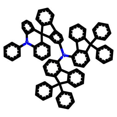 c1ccc(N2c3ccccc3C3(c4ccccc4-c4ccc(N(c5cccc6c5-c5ccccc5C6(c5ccccc5)c5ccccc5)c5cccc6c5-c5ccccc5C6(c5ccccc5)c5ccccc5)cc43)c3ccccc32)cc1